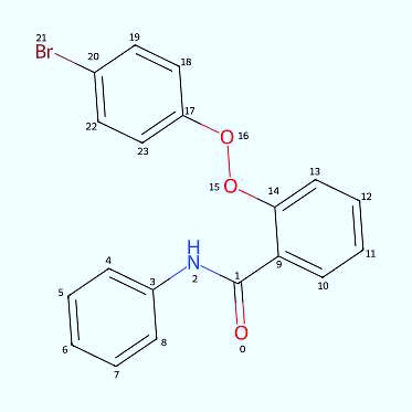 O=C(Nc1ccccc1)c1ccccc1OOc1ccc(Br)cc1